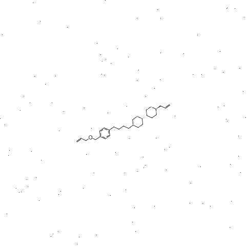 C=CCOCc1ccc(CCCCC2CCC([C@H]3CC[C@H](CC=C)CC3)CC2)cc1